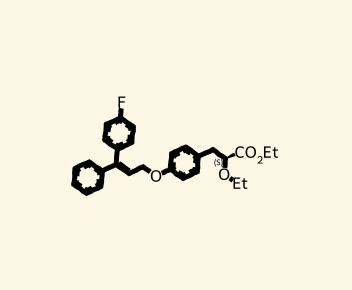 CCOC(=O)[C@H](Cc1ccc(OCC=C(c2ccccc2)c2ccc(F)cc2)cc1)OCC